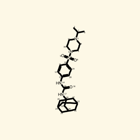 CC(C)N1CCN(S(=O)(=O)c2ccc(NC(=O)NC34CC5CC(CC(C5)C3)C4)cc2)CC1